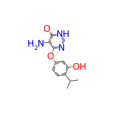 CC(C)c1ccc(Oc2nc[nH]c(=O)c2N)cc1O